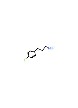 [NH]CCCc1ccc(F)cc1